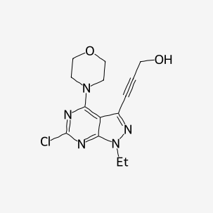 CCn1nc(C#CCO)c2c(N3CCOCC3)nc(Cl)nc21